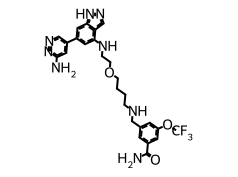 NC(=O)c1cc(CNCCCCOCCNc2cc(-c3cnnc(N)c3)cc3[nH]ncc23)cc(OC(F)(F)F)c1